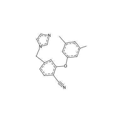 Cc1cc(C)cc(Oc2cc(Cn3ccnc3)ccc2C#N)c1